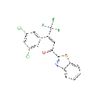 O=C(/C=C(\c1cc(Cl)cc(Cl)c1)C(F)(F)F)c1nc2ccccc2s1